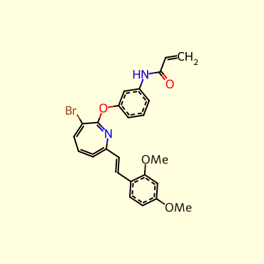 C=CC(=O)Nc1cccc(OC2=NC(/C=C/c3ccc(OC)cc3OC)=C=CC=C2Br)c1